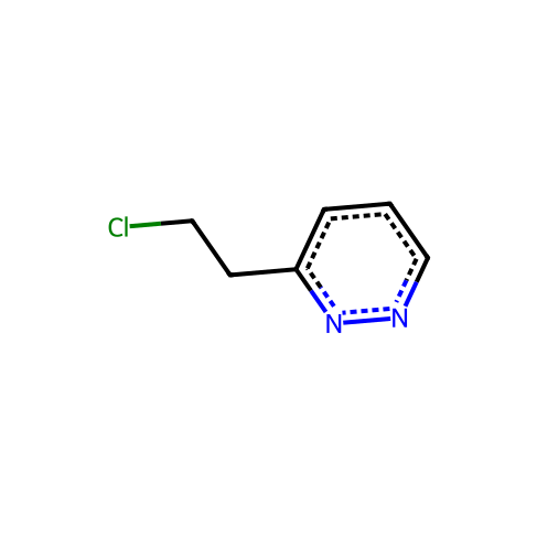 ClCCc1cccnn1